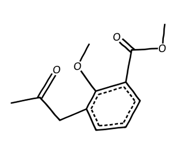 COC(=O)c1cccc(CC(C)=O)c1OC